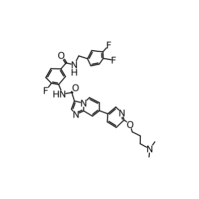 CN(C)CCCOc1ccc(-c2ccn3c(C(=O)Nc4cc(C(=O)NCc5ccc(F)c(F)c5)ccc4F)cnc3c2)cn1